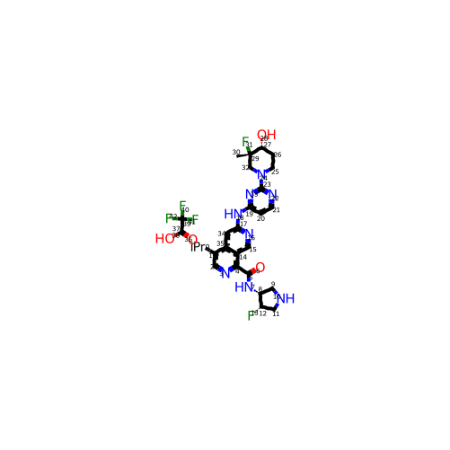 CC(C)c1cnc(C(=O)N[C@@H]2CNC[C@@H]2F)c2cnc(Nc3ccnc(N4CC[C@@H](O)[C@@](C)(F)C4)n3)cc12.O=C(O)C(F)(F)F